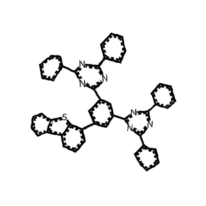 c1ccc(-c2nc(-c3ccccc3)nc(-c3cc(-c4nc(-c5ccccc5)nc(-c5ccccc5)n4)cc(-c4cccc5c4sc4ccccc45)c3)n2)cc1